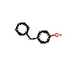 Oc1ccc([CH]c2ccccc2)cc1